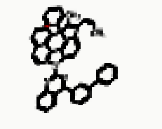 C/C=C\C1=C(C)C2(c3ccccc3)c3cccc4ccc5c(c34)c3c2c1ccc3n5-c1nc(-c2cccc(-c3ccccc3)c2)c2ccccc2n1